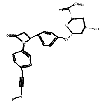 COC(=O)[C@@H]1C[C@H](O)C[C@H](Oc2ccc([C@@H]3CC(=O)N3c3ccc(C#CSI)cc3)cc2)O1